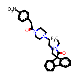 O=C(Cc1ccc([N+](=O)[O-])cc1)N1CCN(CCCCC2(C(=O)NCC(F)(F)F)c3ccccc3-c3ccccc32)CC1